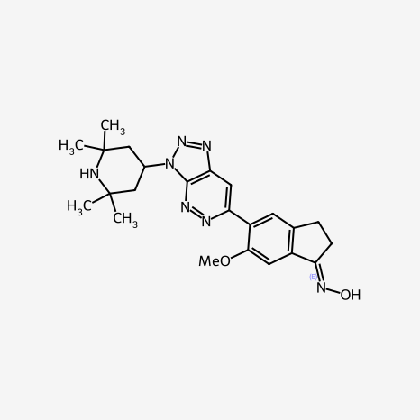 COc1cc2c(cc1-c1cc3nnn(C4CC(C)(C)NC(C)(C)C4)c3nn1)CC/C2=N\O